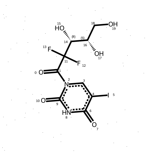 O=C(n1cc(I)c(=O)[nH]c1=O)C(F)(F)[C@H](O)[C@@H](O)CO